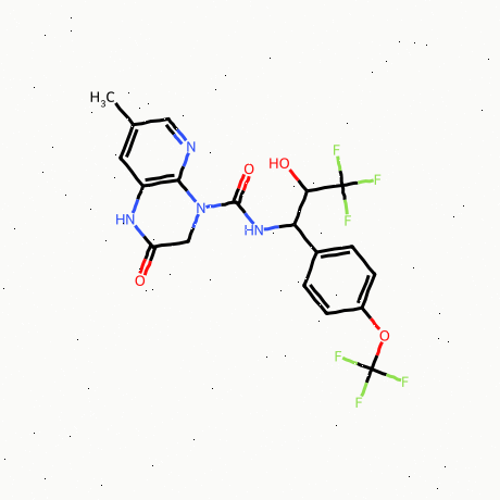 Cc1cnc2c(c1)NC(=O)CN2C(=O)NC(c1ccc(OC(F)(F)F)cc1)C(O)C(F)(F)F